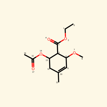 CCOC(=O)C1C(OC)C=C(C)CC1OC(C)=O